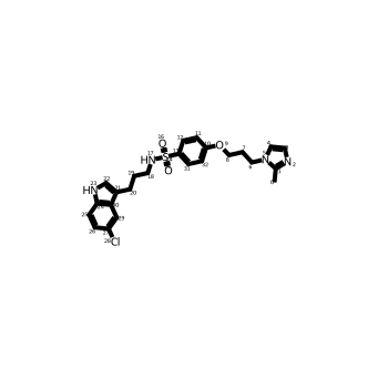 Cc1nccn1CCCOc1ccc(S(=O)(=O)NCCCc2c[nH]c3ccc(Cl)cc23)cc1